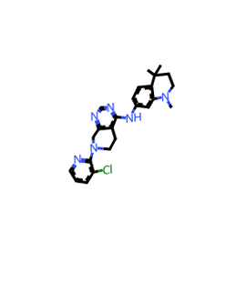 CN1CCC(C)(C)c2ccc(Nc3ncnc4c3CCN(c3ncccc3Cl)C4)cc21